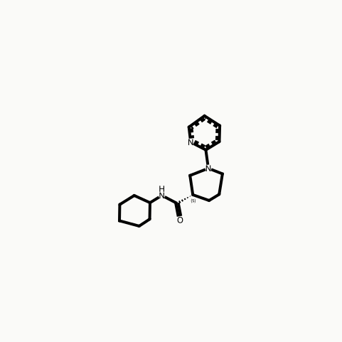 O=C(NC1CCCCC1)[C@H]1CCCN(c2ccccn2)C1